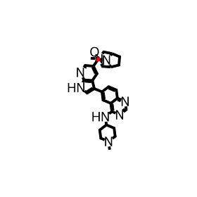 CN1CCC(Nc2ncnc3ccc(-c4c[nH]c5ncc(C(=O)N6C7CCC6CN(C)C7)cc45)cc23)CC1